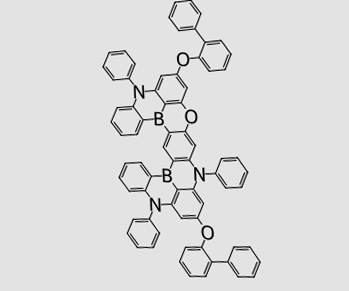 c1ccc(-c2ccccc2Oc2cc3c4c(c2)N(c2ccccc2)c2ccccc2B4c2cc4c(cc2O3)N(c2ccccc2)c2cc(Oc3ccccc3-c3ccccc3)cc3c2B4c2ccccc2N3c2ccccc2)cc1